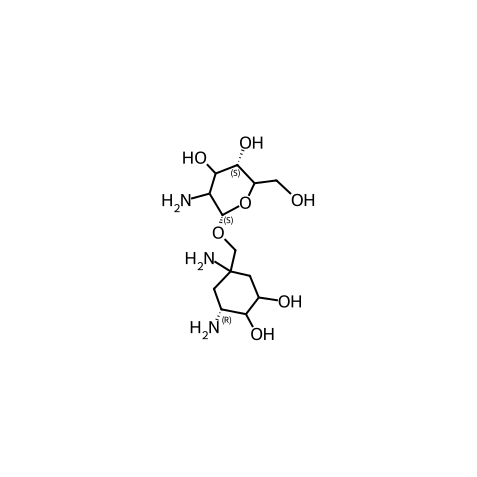 NC1C(O)[C@H](O)C(CO)O[C@@H]1OCC1(N)CC(O)C(O)[C@H](N)C1